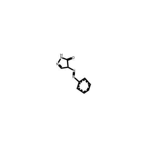 O=C1NN=CC1/N=N/c1ccccc1